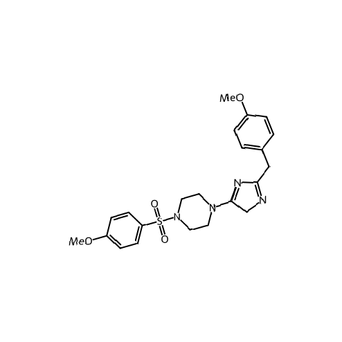 COc1ccc(CC2=NCC(N3CCN(S(=O)(=O)c4ccc(OC)cc4)CC3)=N2)cc1